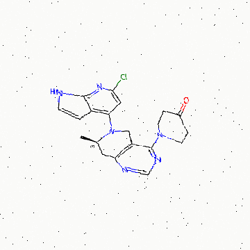 C[C@@H]1Cc2ncnc(N3CCC(=O)CC3)c2CN1c1cc(Cl)nc2[nH]ccc12